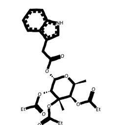 CCC(=O)O[C@@H]1[C@H](OC(=O)Cc2c[nH]c3ccccc23)O[C@@H](C)[C@@H](OC(=O)CC)[C@]1(C)OC(=O)CC